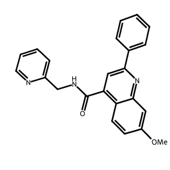 COc1ccc2c(C(=O)NCc3ccccn3)cc(-c3ccccc3)nc2c1